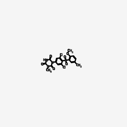 COc1ccc(C)cc1S(=O)(=O)c1c(Cl)cc(-n2c(=O)[nH]c(=O)n(C)c2=O)cc1Cl